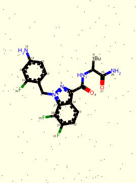 CC(C)(C)C(NC(=O)c1nn(Cc2ccc(N)cc2F)c2c(F)c(F)ccc12)C(N)=O